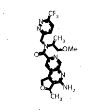 COCC(C)N(Cc1ccc(C(F)(F)F)nn1)C(=O)c1cc2c3c(c(N)nc2cn1)[C@@H](C)OC3